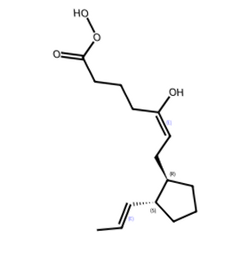 C/C=C/[C@H]1CCC[C@@H]1C/C=C(/O)CCCC(=O)OO